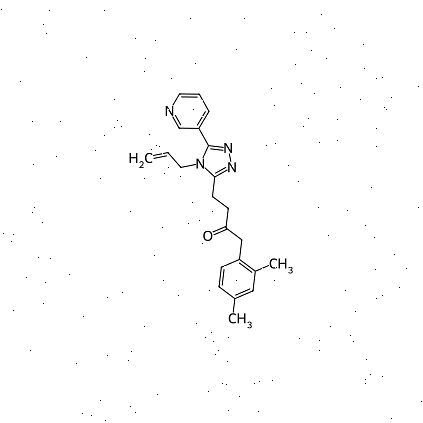 C=CCn1c(CCC(=O)Cc2ccc(C)cc2C)nnc1-c1cccnc1